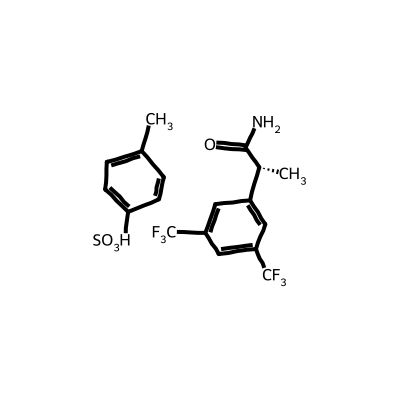 C[C@@H](C(N)=O)c1cc(C(F)(F)F)cc(C(F)(F)F)c1.Cc1ccc(S(=O)(=O)O)cc1